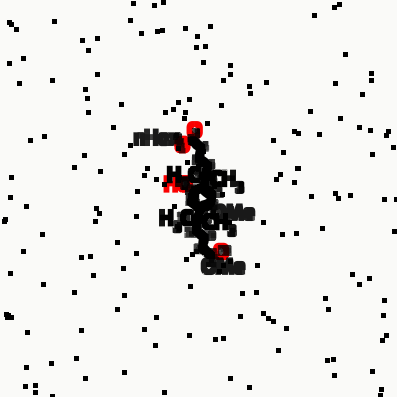 CCCCCCOC(=O)CCCC(C)(C)c1cc(OC)c(C(C)(C)CCCC(=O)OC)cc1O